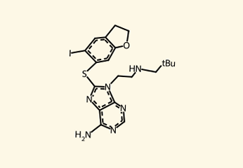 CC(C)(C)CNCCn1c(Sc2cc3c(cc2I)CCO3)nc2c(N)ncnc21